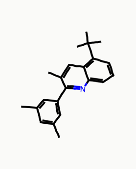 Cc1cc(C)cc(-c2nc3cccc(C(C)(C)C)c3cc2C)c1